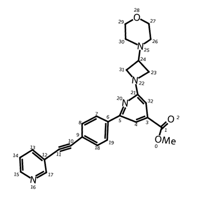 COC(=O)c1cc(-c2ccc(C#Cc3cccnc3)cc2)nc(N2CC(N3CCOCC3)C2)c1